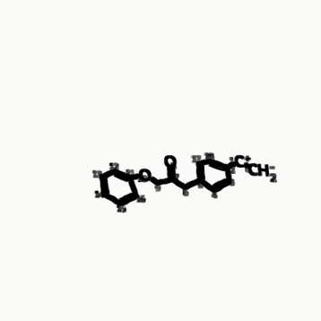 [CH2-][CH+]c1ccc(CC(=O)COc2ccccc2)cc1